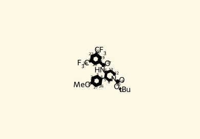 COc1ccc([C@@H]2CN(C(=O)OC(C)(C)C)CCC2NC(=O)c2cc(C(F)(F)F)cc(C(F)(F)F)c2)cc1